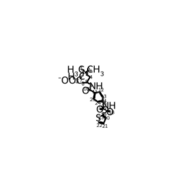 C[N+](C)(C)CC(CC(=O)[O-])NC(=O)c1ccc(NS(=O)(=O)c2cccs2)cc1